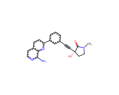 CN1CC[C@@](O)(C#Cc2cccc(-c3ccc4ccnc(N)c4n3)c2)C1=O